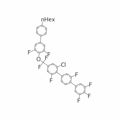 CCCCCCc1ccc(-c2cc(F)c(OC(F)(F)c3cc(F)c(-c4ccc(-c5cc(F)c(F)c(F)c5)c(F)c4)c(Cl)c3)c(F)c2)cc1